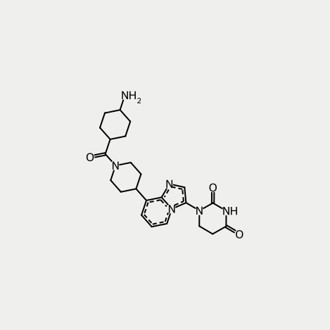 NC1CCC(C(=O)N2CCC(c3cccn4c(N5CCC(=O)NC5=O)cnc34)CC2)CC1